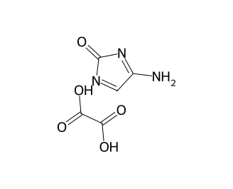 NC1=NC(=O)N=C1.O=C(O)C(=O)O